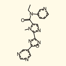 CCN(C(=O)c1cnc(-c2noc(-c3cncnc3)n2)n1C)c1cccnc1